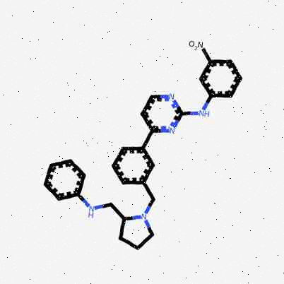 O=[N+]([O-])c1cccc(Nc2nccc(-c3cccc(CN4CCCC4CNc4ccccc4)c3)n2)c1